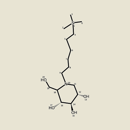 C[Si](C)(C)CCCCCCN1C[C@H](O)[C@@H](O)[C@H](O)C1CO